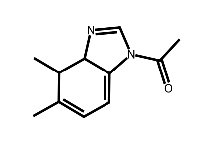 CC(=O)N1C=NC2C1=CC=C(C)C2C